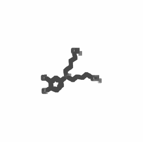 CCCCC[N+](CCCCC)c1ccc(Cl)c(Cl)c1